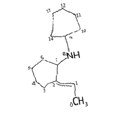 CC=C1CCCCC1NC1CCCCC1